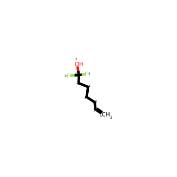 C=CCCCCC(O)(F)F